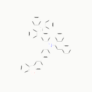 c1ccc([Si](c2ccccc2)(c2ccccc2)c2ccc(N(c3ccc(-c4ccc5oc6ccccc6c5c4)cc3)c3cc4ccccc4c4ccccc34)cc2)cc1